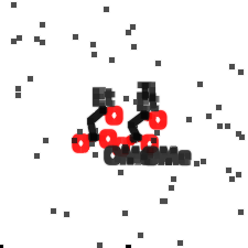 CCC(=O)CC(=O)OOC.CCC(=O)CC(=O)OOC.[Ti]